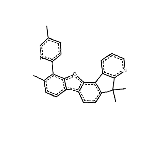 Cc1ccc(-c2c(C)ccc3c2oc2c4c(ccc23)C(C)(C)c2ncccc2-4)nc1